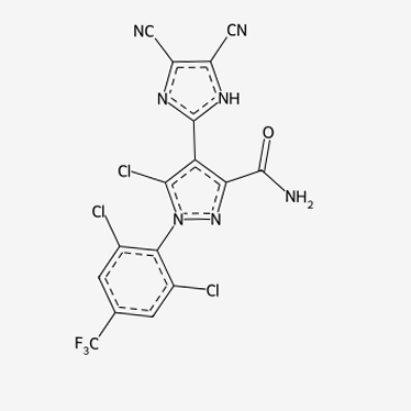 N#Cc1nc(-c2c(C(N)=O)nn(-c3c(Cl)cc(C(F)(F)F)cc3Cl)c2Cl)[nH]c1C#N